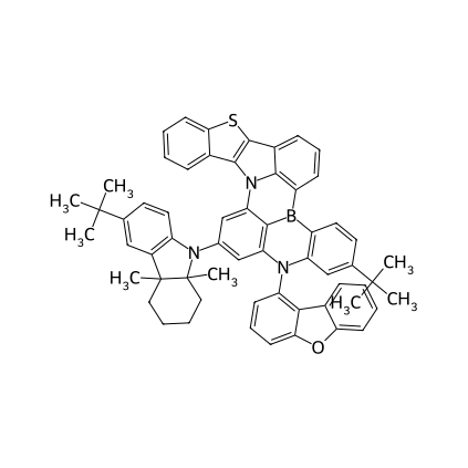 CC(C)(C)c1ccc2c(c1)N(c1cccc3oc4ccccc4c13)c1cc(N3c4ccc(C(C)(C)C)cc4C4(C)CCCCC34C)cc3c1B2c1cccc2c4sc5ccccc5c4n-3c12